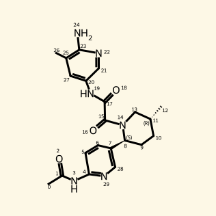 CC(=O)Nc1ccc([C@@H]2CC[C@@H](C)CN2C(=O)C(=O)Nc2cnc(N)c(C)c2)cn1